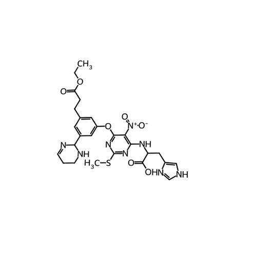 CCOC(=O)CCc1cc(Oc2nc(SC)nc(NC(Cc3c[nH]cn3)C(=O)O)c2[N+](=O)[O-])cc(C2N=CCCN2)c1